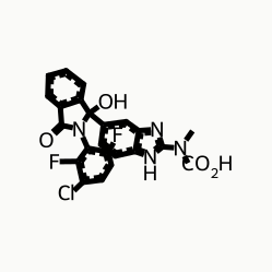 CN(C(=O)O)c1nc2cc(C3(O)c4ccccc4C(=O)N3c3c(F)ccc(Cl)c3F)ccc2[nH]1